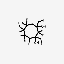 OC1(F)CC(O)(CF)C(F)(F)C(O)(CF)C(F)C(O)(F)C1(F)F